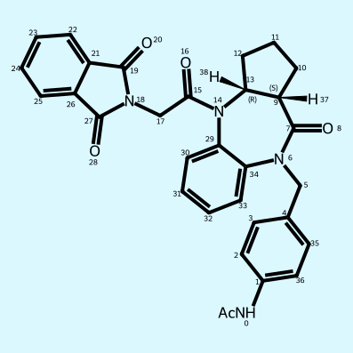 CC(=O)Nc1ccc(CN2C(=O)[C@H]3CCC[C@H]3N(C(=O)CN3C(=O)c4ccccc4C3=O)c3ccccc32)cc1